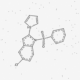 O=S(=O)(c1ccccc1)n1c([SH]2C=CC=C2)cc2cc(Cl)ccc21